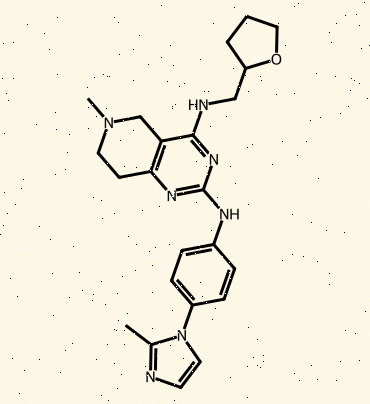 Cc1nccn1-c1ccc(Nc2nc3c(c(NCC4CCCO4)n2)CN(C)CC3)cc1